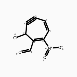 O=CC1=C([N+](=O)[O-])C=CC#CC1Cl